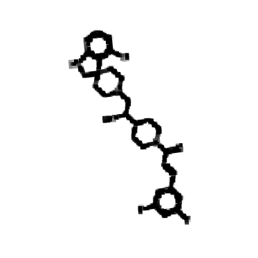 O=C(/C=C/c1cc(F)cc(F)c1)N1CCC(C(O)CN2CCC3(CC2)CNc2cccc(Cl)c23)CC1